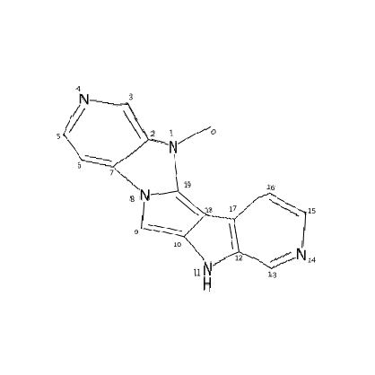 Cn1c2cnccc2n2cc3[nH]c4cnccc4c3c12